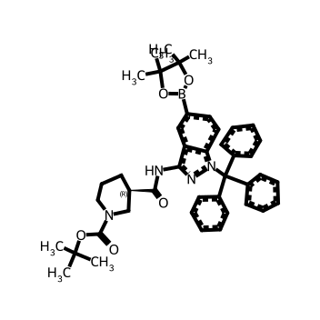 CC(C)(C)OC(=O)N1CCC[C@@H](C(=O)Nc2nn(C(c3ccccc3)(c3ccccc3)c3ccccc3)c3ccc(B4OC(C)(C)C(C)(C)O4)cc23)C1